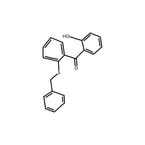 O=C(c1ccccc1O)c1ccccc1SCc1ccccc1